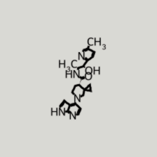 Cc1ccc([C@@H](O)[C@H](C)NC(=O)[C@H]2CCN(c3ccnc4[nH]ccc34)CC23CC3)nc1